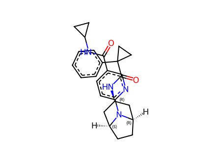 O=C(NC1CC1)c1ccc(N2[C@@H]3CC[C@H]2C[C@@H](NC(=O)C2(c4ccccc4)CC2)C3)nc1